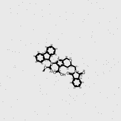 COC(=O)N(c1sc2c(c1C(=O)O)CC(CN1C(=O)c3ccccc3C1=O)OC2)C1c2ccccc2-c2ccccc21